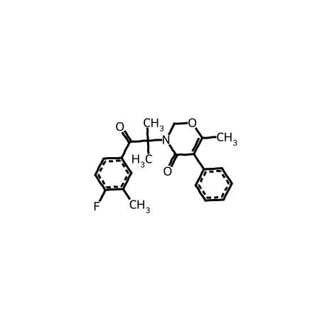 CC1=C(c2ccccc2)C(=O)N(C(C)(C)C(=O)c2ccc(F)c(C)c2)CO1